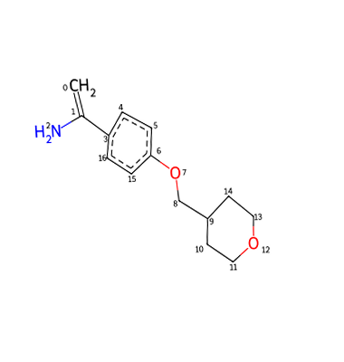 C=C(N)c1ccc(OCC2CCOCC2)cc1